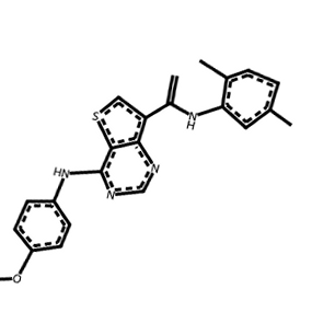 C=C(Nc1cc(C)ccc1C)c1csc2c(Nc3ccc(OC)cc3)ncnc12